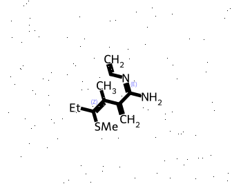 C=C/N=C(/N)C(=C)/C(C)=C(/CC)SC